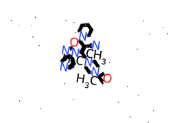 CC1(N2CCN(C(C)(C)C(=C(C#N)C(=O)N3CCCCC3)n3cnc4cnccc43)CC2)COC1